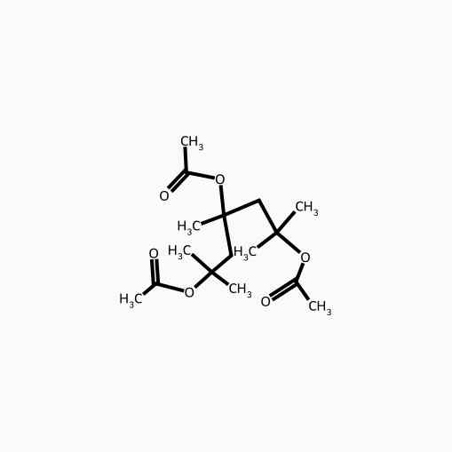 CC(=O)OC(C)(C)CC(C)(CC(C)(C)OC(C)=O)OC(C)=O